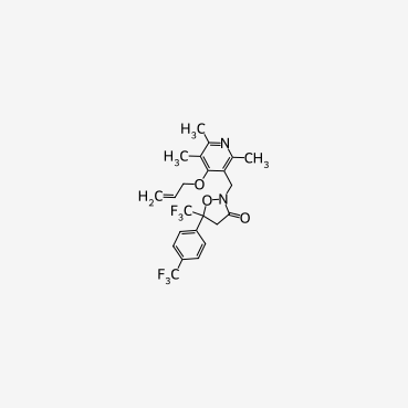 C=CCOc1c(C)c(C)nc(C)c1CN1OC(c2ccc(C(F)(F)F)cc2)(C(F)(F)F)CC1=O